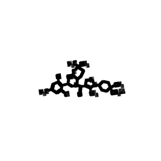 CCOC(=O)C1(C)CCC(n2ncc(C(=O)N(CC(O)c3c(Cl)cc(C)cc3Cl)C3CCC(C)(C)CC3)c2C(F)(F)F)CC1